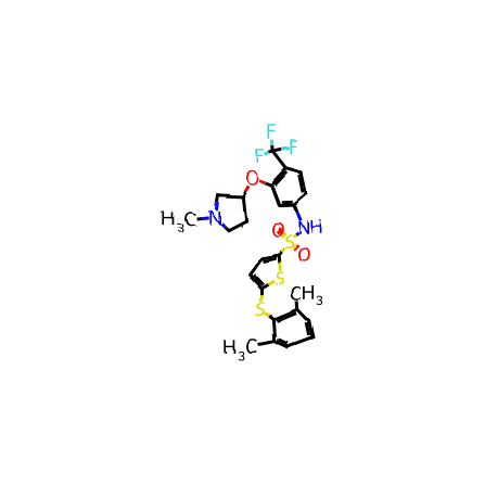 Cc1cccc(C)c1Sc1ccc(S(=O)(=O)Nc2ccc(C(F)(F)F)c(OC3CCN(C)C3)c2)s1